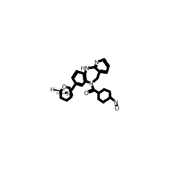 O=NC1CCC(C(=O)N2Cc3cccnc3Nc3ccc(N4C[C@@H]5CCC4CO5)cc32)CC1